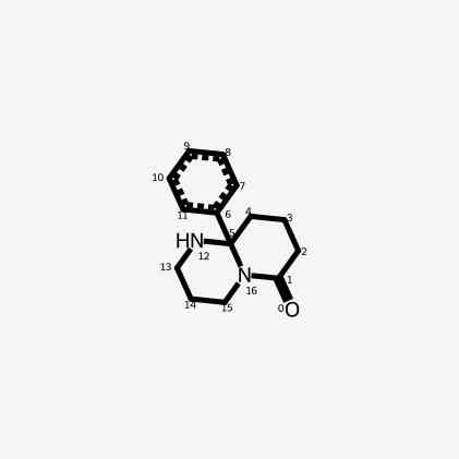 O=C1CCCC2(c3ccccc3)NCCCN12